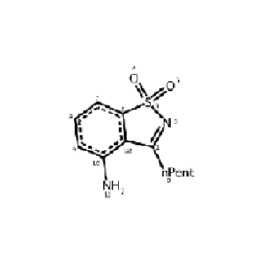 CCCCCC1=NS(=O)(=O)c2cccc(N)c21